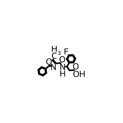 Cc1oc(-c2ccccc2)nc1C(=O)NC(CC(=O)O)c1cccc(F)c1